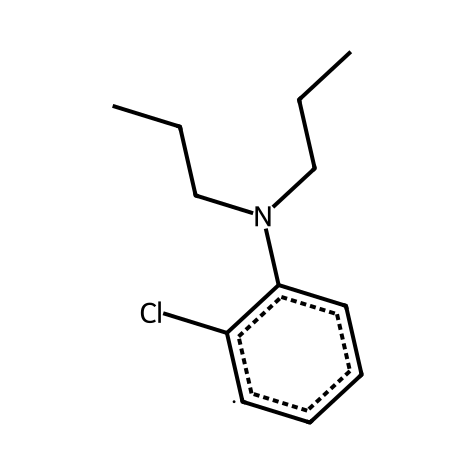 CCCN(CCC)c1ccc[c]c1Cl